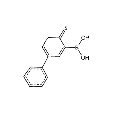 OB(O)C1=CC(c2ccccc2)=CCC1=S